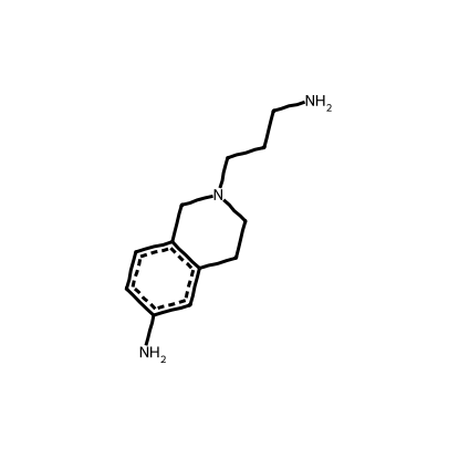 NCCCN1CCc2cc(N)ccc2C1